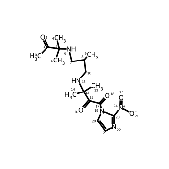 CC(=O)C(C)(C)NCC(C)CNC(C)(C)C(=O)C(=O)n1ccnc1[N+](=O)[O-]